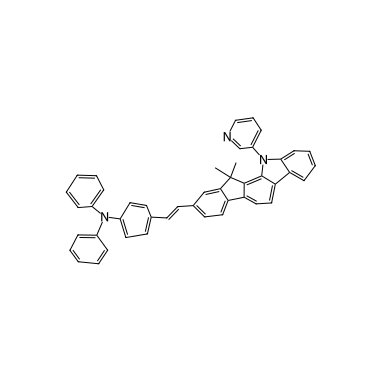 CC1(C)c2cc(/C=C/c3ccc(N(c4ccccc4)c4ccccc4)cc3)ccc2-c2ccc3c4ccccc4n(-c4cccnc4)c3c21